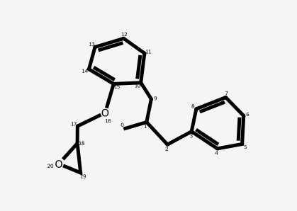 CC(Cc1ccccc1)Cc1ccccc1OCC1CO1